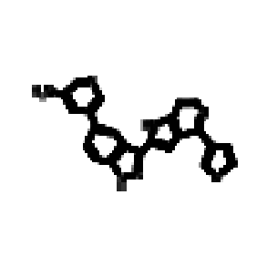 Nc1cncc(-c2ccc3[nH]nc(-c4cc5c(-c6ccoc6)nccc5[nH]4)c3c2)c1